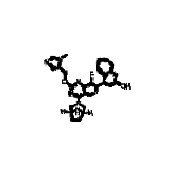 Cn1cncc1COc1nc(N2C[C@H]3CC[C@@H](C2)N3)c2cnc(-c3cc(O)cc4ccccc34)c(F)c2n1